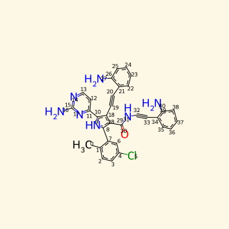 Cc1ccc(Cl)cc1-c1[nH]c(-c2ccnc(N)n2)c(C#Cc2ccccc2N)c1C(=O)NC#Cc1ccccc1N